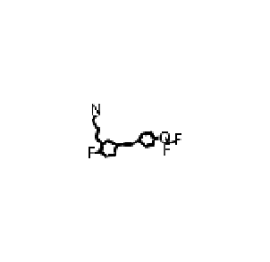 N#CCCCc1cc(C#Cc2ccc(OC(F)F)cc2)ccc1F